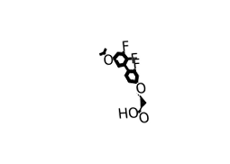 CC(C)Oc1cc(F)c(F)c(-c2ccc(OC[C@@H]3C[C@H]3C(=O)O)cc2F)c1